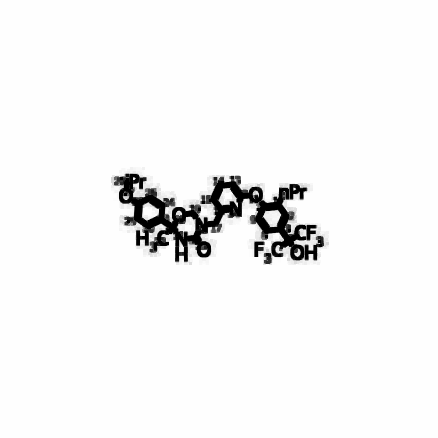 CCCc1cc(C(O)(C(F)(F)F)C(F)(F)F)ccc1Oc1cccc(CN2COC(C)(c3ccc(OC(C)C)cc3)NC2=O)n1